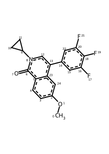 COc1ccc2c(=O)n(C3CC3)cc(-c3cc(F)c(F)c(F)c3)c2c1